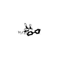 CCC(=O)N1C(=O)OC(C)(C)[C@H]1c1cccc(-c2ccccc2)c1